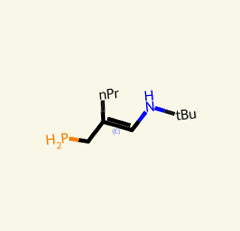 CCC/C(=C\NC(C)(C)C)CP